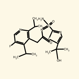 CC(C)c1ncc(F)c(C(C)C)c1CC(=O)N=S(N)(=O)c1ncc(C(C)(C)O)s1